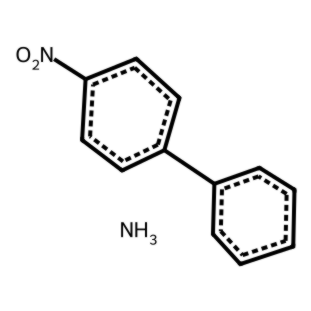 N.O=[N+]([O-])c1ccc(-c2ccccc2)cc1